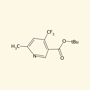 Cc1cc(C(F)(F)F)c(C(=O)OC(C)(C)C)cn1